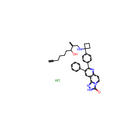 C#CCCCCC(O)C(=C)CNC1(c2ccc(-c3nc4ccn5c(=O)[nH]nc5c4cc3-c3ccccc3)cc2)CCC1.Cl